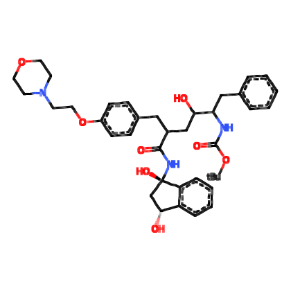 CC(C)(C)OC(=O)NC(Cc1ccccc1)C(O)CC(Cc1ccc(OCCN2CCOCC2)cc1)C(=O)N[C@@]1(O)C[C@@H](O)c2ccccc21